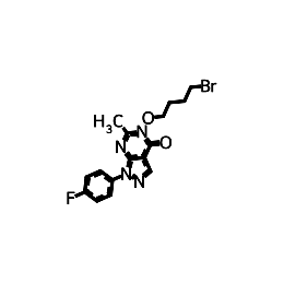 Cc1nc2c(cnn2-c2ccc(F)cc2)c(=O)n1OCCCCBr